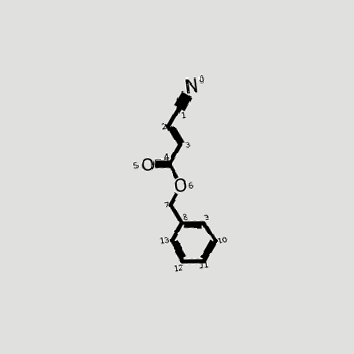 N#CC=CC(=O)OCc1ccccc1